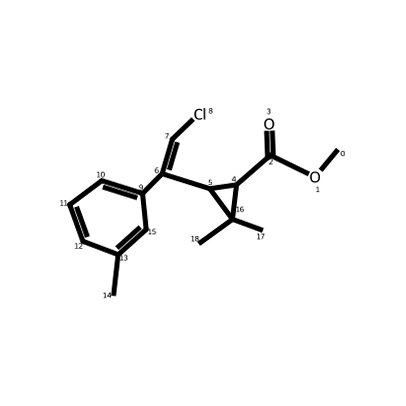 COC(=O)C1C(C(=CCl)c2cccc(C)c2)C1(C)C